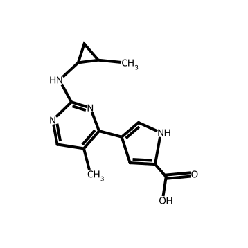 Cc1cnc(NC2CC2C)nc1-c1c[nH]c(C(=O)O)c1